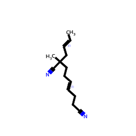 C/C=C/CC(C)(C#N)CC/C=C/CCC#N